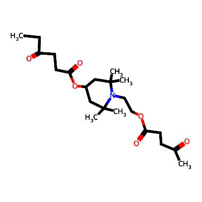 CCC(=O)CCC(=O)OC1CC(C)(C)N(CCOC(=O)CCC(C)=O)C(C)(C)C1